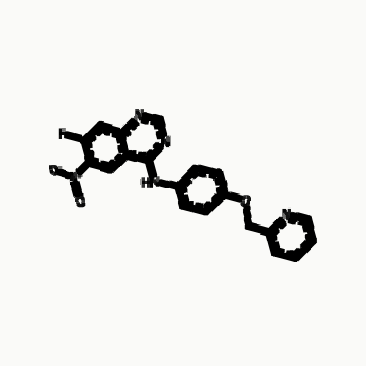 O=[N+]([O-])c1cc2c(Nc3ccc(OCc4ccccn4)cc3)ncnc2cc1F